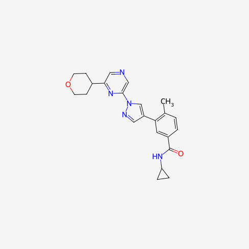 Cc1ccc(C(=O)NC2CC2)cc1-c1cnn(-c2cncc(C3CCOCC3)n2)c1